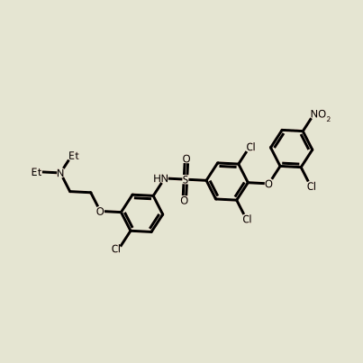 CCN(CC)CCOc1cc(NS(=O)(=O)c2cc(Cl)c(Oc3ccc([N+](=O)[O-])cc3Cl)c(Cl)c2)ccc1Cl